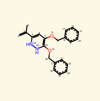 C=C(C)C1=CC(OCc2ccccc2)=C(OCc2ccccc2)NN1